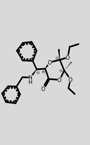 CCO[C@@]1(C)OC(=O)[C@@H]([C@@H](NCc2ccccc2)c2ccccc2)O[C@]1(C)OCC